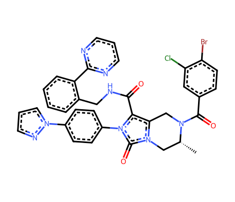 C[C@@H]1Cn2c(c(C(=O)NCc3ccccc3-c3ncccn3)n(-c3ccc(-n4cccn4)cc3)c2=O)CN1C(=O)c1ccc(Br)c(Cl)c1